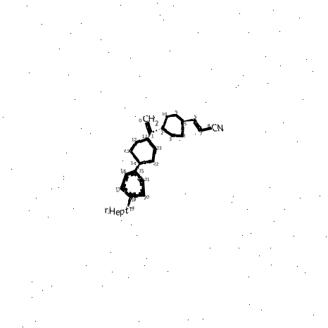 C=C([C@H]1CC[C@H](/C=C/C#N)CC1)[C@H]1CC[C@H](c2ccc(CCCCCCC)cc2)CC1